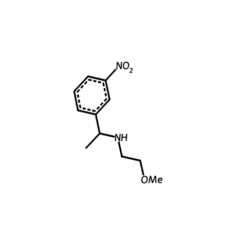 COCCNC(C)c1cccc([N+](=O)[O-])c1